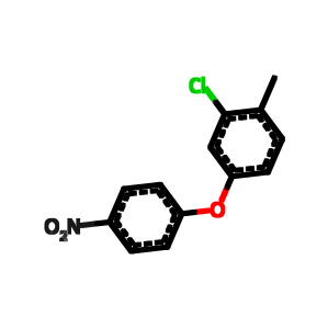 Cc1ccc(Oc2ccc([N+](=O)[O-])cc2)cc1Cl